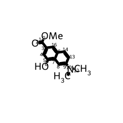 COC(=O)c1cc(O)c2cc(N(C)C)ccc2c1